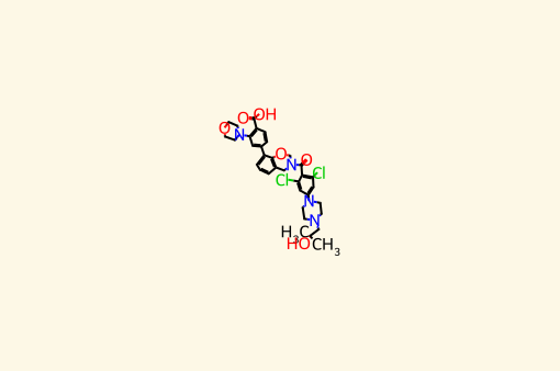 CC(C)(O)CN1CCN(c2cc(Cl)c(C(=O)N3COc4c(cccc4-c4ccc(C(=O)O)c(N5CCOCC5)c4)C3)c(Cl)c2)CC1